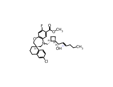 CCC/C=C/[C@H](O)[C@@H]1CC[C@H]1CN1C[C@@]2(CCCc3cc(Cl)ccc32)COc2cc(F)c(C(=O)OC)cc21